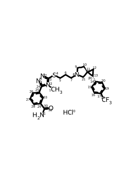 Cl.Cn1c(SCCCN2CC[C@]3(C[C@@H]3c3ccc(C(F)(F)F)cc3)C2)nnc1-c1cccc(C(N)=O)c1